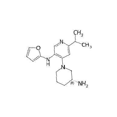 CC(C)c1cc(N2CCC[C@@H](N)C2)c(Nc2ccco2)cn1